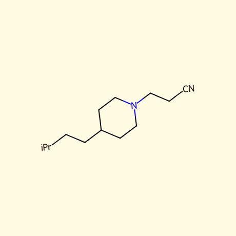 CC(C)CCC1CCN(CCC#N)CC1